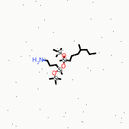 CCCC(C)CCC[Si](C)(O[Si](C)(C)C)O[Si](C)(CCCN)O[Si](C)(C)C